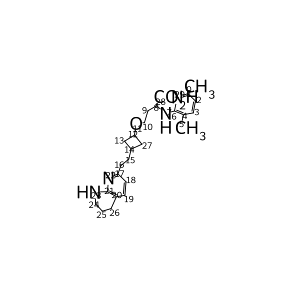 Cc1ccc(C)c(N[C@@H](CCOC2CC(CCc3ccc4c(n3)NCCC4)C2)C(=O)O)n1